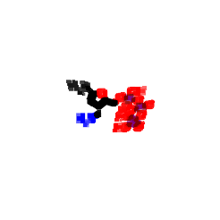 B[C@H]1C[C@@H](CN)C(COP(=O)(O)OP(=O)(O)OP(=O)(O)O)O1